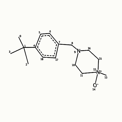 CC(C)(C)c1ccc(CN2CC[N+](C)([O-])CC2)cc1